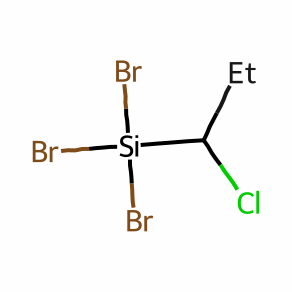 CCC(Cl)[Si](Br)(Br)Br